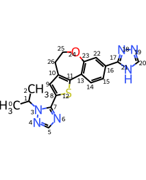 CC(C)n1ncnc1-c1cc2c(s1)-c1ccc(-c3nnc[nH]3)cc1OCC2